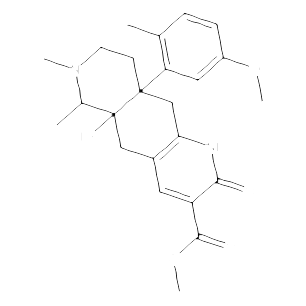 COC(=O)c1cc2c([nH]c1=O)CC1(c3cc(OC)ccc3C)CCN(C)C(C)C1(O)C2